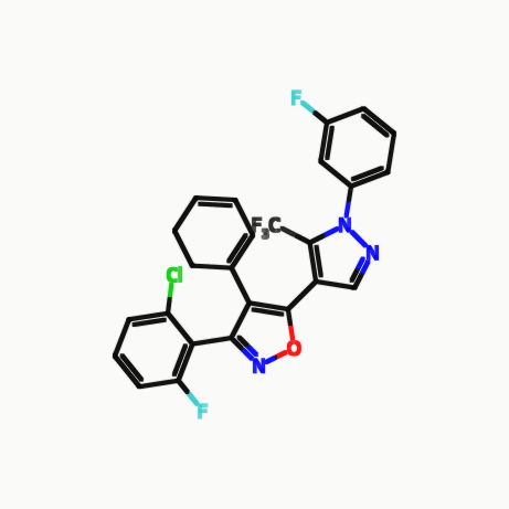 Fc1cccc(-n2ncc(-c3onc(-c4c(F)cccc4Cl)c3C3=CC=CCC3)c2C(F)(F)F)c1